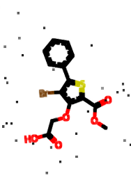 COC(=O)c1sc(-c2ccccc2)c(Br)c1OCC(=O)O